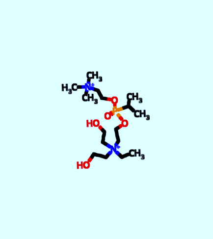 CC[N+](CCO)(CCO)CCOP(=O)(OCC[N+](C)(C)C)C(C)C